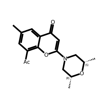 CC(=O)c1cc(C)cc2c(=O)cc(N3C[C@@H](C)O[C@@H](C)C3)oc12